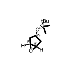 CC(C)(C)[Si](C)(C)O[C@H]1C[C@@H]2O[C@@H]2C1